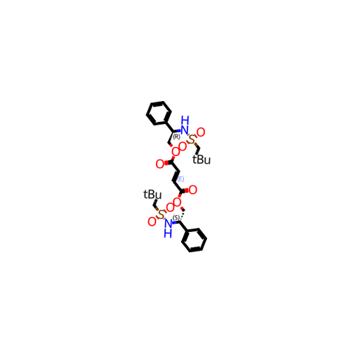 CC(C)(C)CS(=O)(=O)N[C@@H](COC(=O)/C=C/C(=O)OC[C@@H](NS(=O)(=O)CC(C)(C)C)c1ccccc1)c1ccccc1